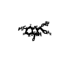 C=C(OCC)c1nc2cc(C)ccc2c(=O)[nH]1